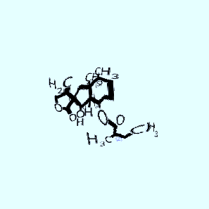 C=C1COC(=O)[C@]12C[C@@]1(C)[C@H]([C@@H](OC(=O)/C(C)=C\C)CC[C@@H]1C)[C@H]2O